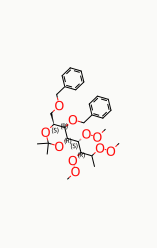 COOC(C)[C@@H](OOC)[C@@H](OOC)[C@@H]1OC(C)(C)O[C@@H](COCc2ccccc2)[C@H]1OCc1ccccc1